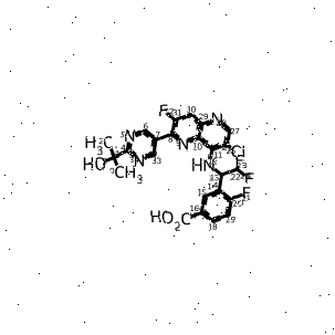 CC(C)(O)c1ncc(-c2nc3c(NC(c4cc(C(=O)O)ccc4F)C(F)F)c(Cl)cnc3cc2F)cn1